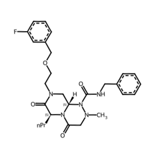 CCC[C@H]1C(=O)N(CCOCc2cccc(F)c2)C[C@H]2N1C(=O)CN(C)N2C(=O)NCc1ccccc1